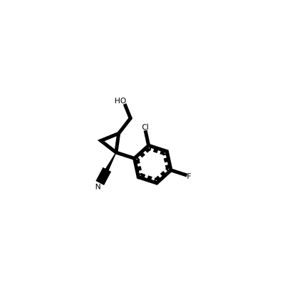 N#C[C@@]1(c2ccc(F)cc2Cl)CC1CO